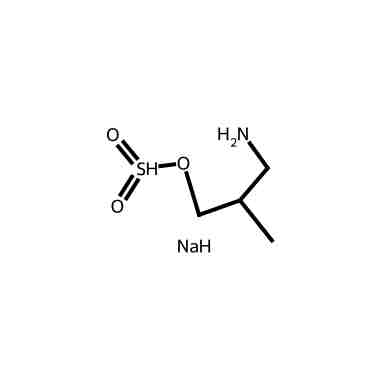 CC(CN)CO[SH](=O)=O.[NaH]